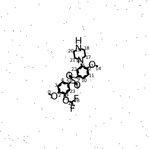 COc1ccc(S(=O)(=O)c2ccc(OC)c(N3CCNCC3)c2)cc1OC(F)F